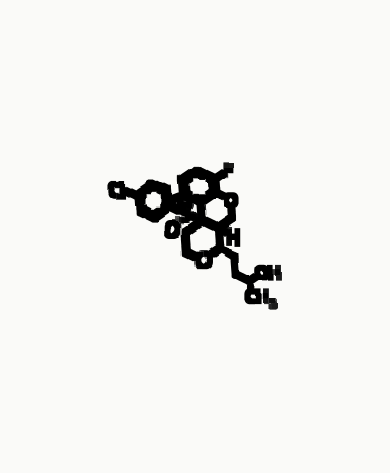 C[C@H](O)CC[C@H]1OCC[C@]2(S(=O)(=O)c3ccc(Cl)cc3)c3c(F)ccc(F)c3OC[C@H]12